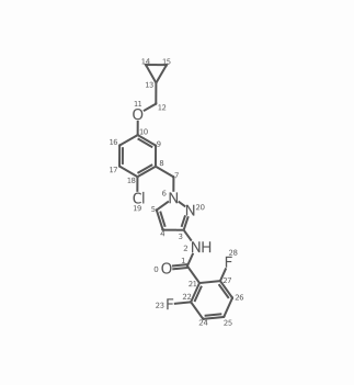 O=C(Nc1ccn(Cc2cc(OCC3CC3)ccc2Cl)n1)c1c(F)cccc1F